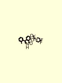 Cc1ccccc1-c1c[nH]c(=O)c2cc(O[C@H](C)C(=O)N3CCC(F)(F)CC3)ccc12